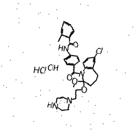 COC1(OCCN2CCNCC2)CCCc2cc(Cl)ccc2N1C(=O)c1ccc(NC(=O)c2ccccc2C)cc1.Cl.Cl